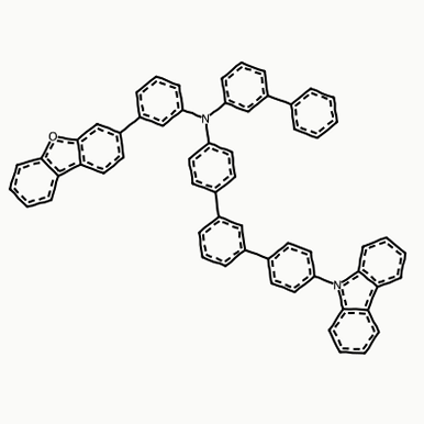 c1ccc(-c2cccc(N(c3ccc(-c4cccc(-c5ccc(-n6c7ccccc7c7ccccc76)cc5)c4)cc3)c3cccc(-c4ccc5c(c4)oc4ccccc45)c3)c2)cc1